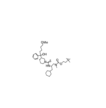 COCCCC[C@@](O)(c1ccccc1)[C@@H]1CCCN(C(=S)NC(CC2CCCCC2)CN(C)C(=O)OCC[Si](C)(C)C)C1